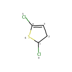 Cl[C]1CC=C(Cl)S1